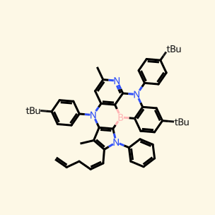 C=CC/C=C\c1c(C)c2c(n1-c1ccccc1)B1c3ccc(C(C)(C)C)cc3N(c3ccc(C(C)(C)C)cc3)c3nc(C)cc(c31)N2c1ccc(C(C)(C)C)cc1